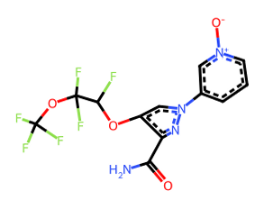 NC(=O)c1nn(-c2ccc[n+]([O-])c2)cc1OC(F)C(F)(F)OC(F)(F)F